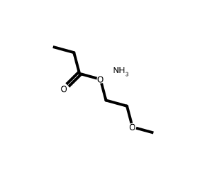 CCC(=O)OCCOC.N